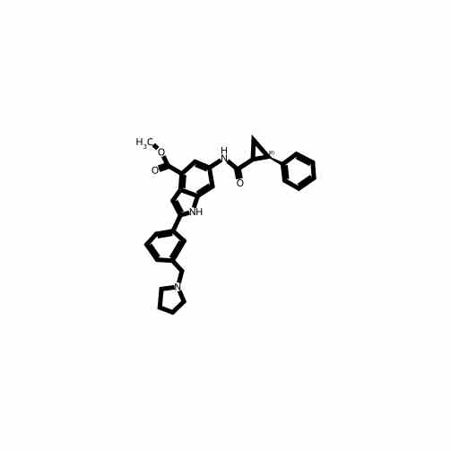 COC(=O)c1cc(NC(=O)C2C[C@H]2c2ccccc2)cc2[nH]c(-c3cccc(CN4CCCC4)c3)cc12